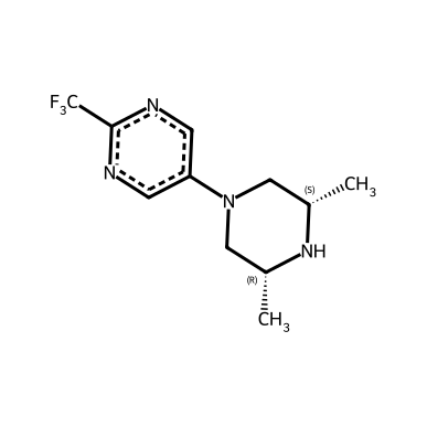 C[C@@H]1CN(c2cnc(C(F)(F)F)nc2)C[C@H](C)N1